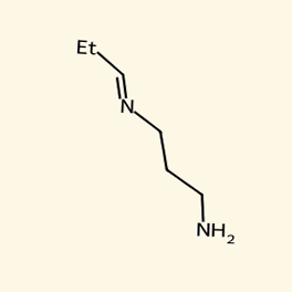 CCC=NCCCN